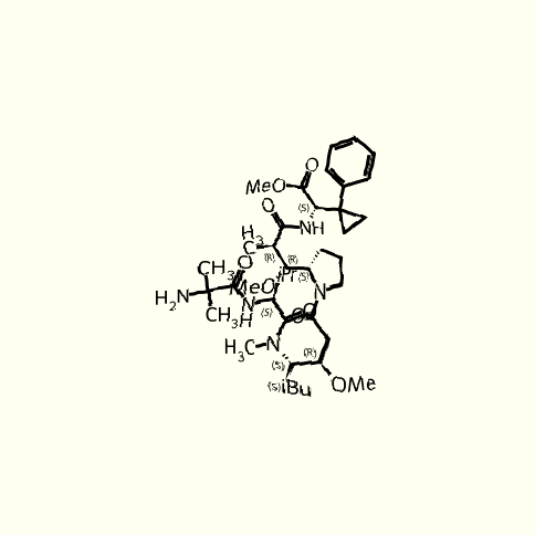 CC[C@H](C)[C@@H]([C@@H](CC(=O)N1CCC[C@H]1[C@H](OC)[C@@H](C)C(=O)N[C@H](C(=O)OC)C1(c2ccccc2)CC1)OC)N(C)C(=O)[C@@H](NC(=O)C(C)(C)N)C(C)C